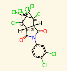 O=C1[C@@H]2[C@H](C(=O)N1c1ccc(Cl)c(Cl)c1)[C@]1(Cl)C(Cl)=C(Cl)[C@@]2(Cl)C1(Cl)Cl